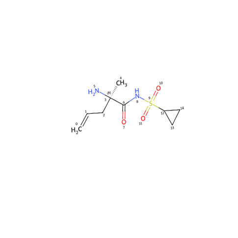 C=CC[C@@](C)(N)C(=O)NS(=O)(=O)C1CC1